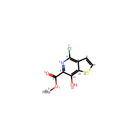 CCCCOC(=O)c1nc(Cl)c2ccsc2c1O